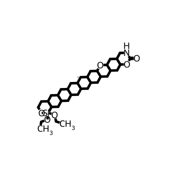 CCO[Si]1(OCC)OCCC2CC3CC4CC5[CH]C6CC7OC8CC9CNC(=O)OC9CC8CC7CC6CC5CC4CC3CC21